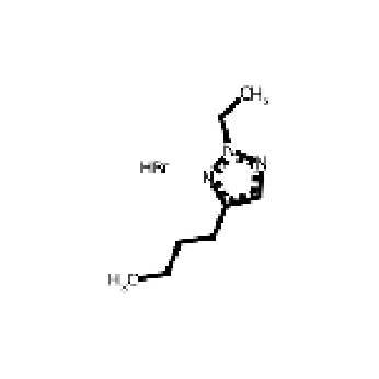 Br.CCCCc1cnn(CC)n1